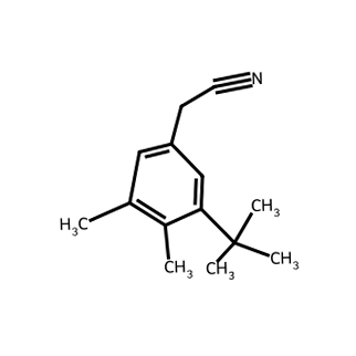 Cc1cc(CC#N)cc(C(C)(C)C)c1C